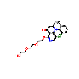 Cc1cc(=O)c2c(OCCOCCOCCO)ncc(Cl)c2n1-c1c(Cl)cccc1C#N